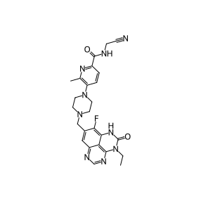 CCN1C(=O)Nc2c(F)c(CN3CCN(c4ccc(C(=O)NCC#N)nc4C)CC3)cc3ncnc1c23